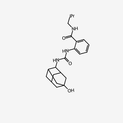 CC(C)CNC(=O)c1ccccc1NC(=O)NC1C2CC3CC1CC(O)(C3)C2